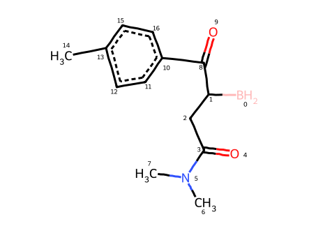 BC(CC(=O)N(C)C)C(=O)c1ccc(C)cc1